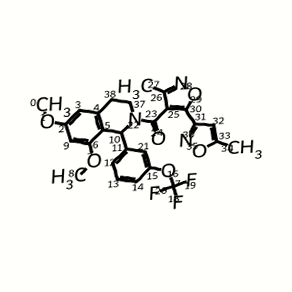 COc1cc2c(c(OC)c1)C(c1cccc(OC(F)(F)F)c1)N(C(=O)c1c(C)noc1-c1cc(C)on1)CC2